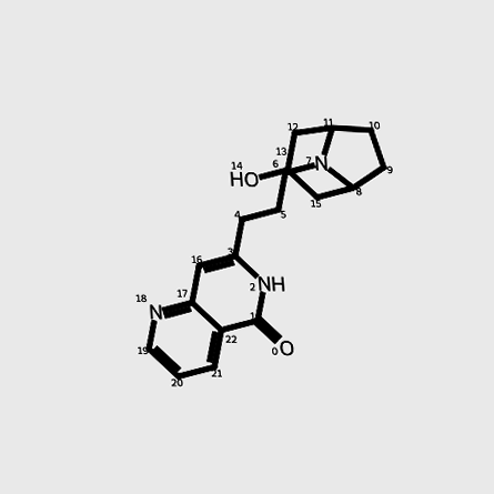 O=c1[nH]c(CCCN2C3CCC2CC(O)C3)cc2ncccc12